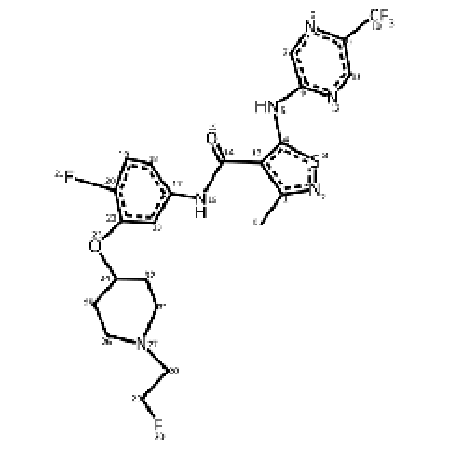 Cc1nsc(Nc2cnc(C(F)(F)F)cn2)c1C(=O)Nc1ccc(F)c(OC2CCN(CCF)CC2)c1